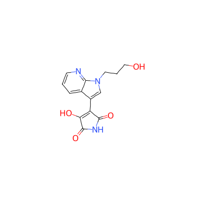 O=C1NC(=O)C(c2cn(CCCO)c3ncccc23)=C1O